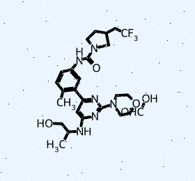 Cc1ccc(NC(=O)N2CCC(CC(F)(F)F)C2)cc1-c1cc(NC(C)CO)nc(N2CCOCC2)n1.O=CO